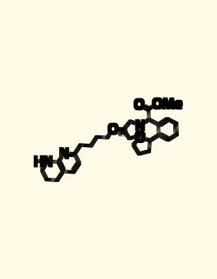 COC(=O)C(c1ccccc1C1CCCO1)N1CC[C@@H](OCCCCc2ccc3c(n2)NCCC3)C1